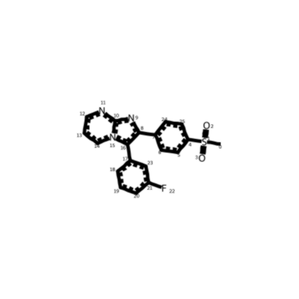 CS(=O)(=O)c1ccc(-c2nc3ncccn3c2-c2cccc(F)c2)cc1